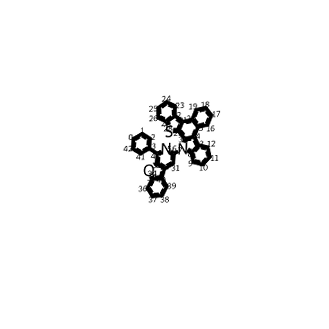 c1ccc(-c2nc(-n3c4ccccc4c4c5ccccc5c5c6ccccc6sc5c43)cc3c2oc2ccccc23)cc1